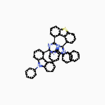 c1ccc(-c2nc(-c3cccc4sc5cccc(-c6nc7ccccc7n6-c6ccccc6)c5c34)nc(-c3cccc4c3c3ccccc3n4-c3ccccc3)n2)cc1